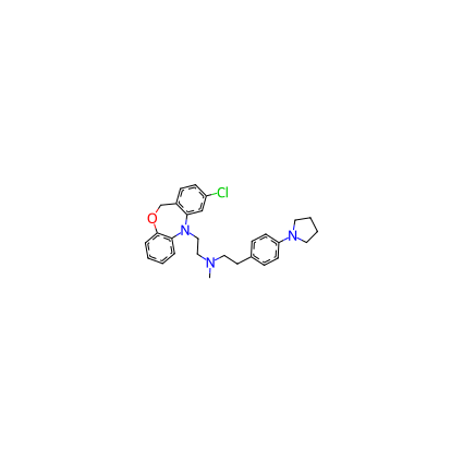 CN(CCc1ccc(N2CCCC2)cc1)CCN1c2cc(Cl)ccc2COc2ccccc21